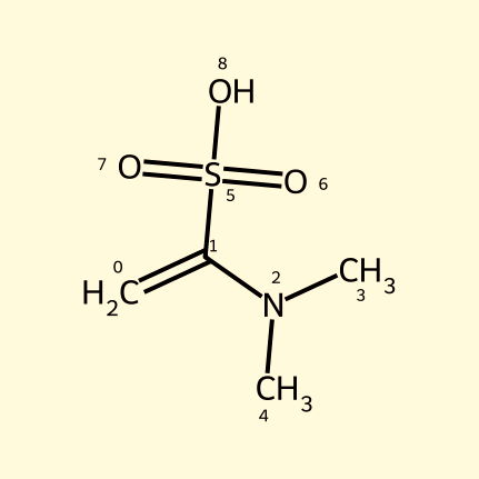 C=C(N(C)C)S(=O)(=O)O